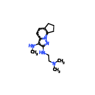 CNc1c(NCCN(C)C)nn2c3c(ccc12)CCC3